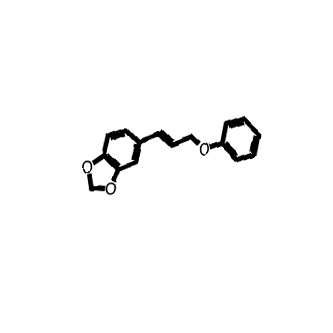 C(=Cc1ccc2c(c1)OCO2)COc1ccccc1